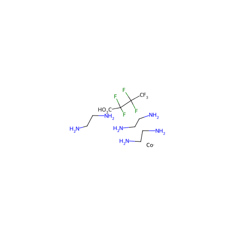 NCCN.NCCN.NCCN.O=C(O)C(F)(F)C(F)(F)C(F)(F)F.[Co]